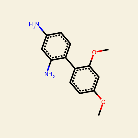 COc1ccc(-c2ccc(N)cc2N)c(OC)c1